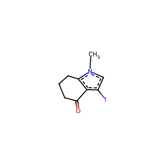 Cn1cc(I)c2c1CCCC2=O